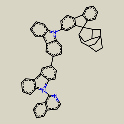 c1ccc2c(c1)-c1ccc(-n3c4ccccc4c4cc(-c5ccc6c(c5)c5ccccc5n6-c5nccc6ccccc56)ccc43)cc1C21C2CC3CCC4(C3)CC1C4C2